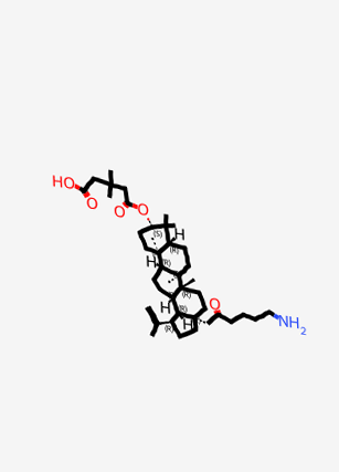 C=C(C)[C@@H]1CC[C@]2(CC(=O)CCCCN)CC[C@]3(C)[C@H](CC[C@@H]4[C@@]5(C)CC[C@H](OC(=O)CC(C)(C)CC(=O)O)C(C)(C)[C@@H]5CC[C@]43C)[C@@H]12